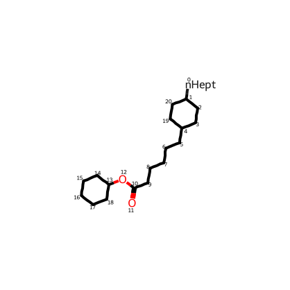 CCCCCCCC1CCC(CCCCCC(=O)OC2CCCCC2)CC1